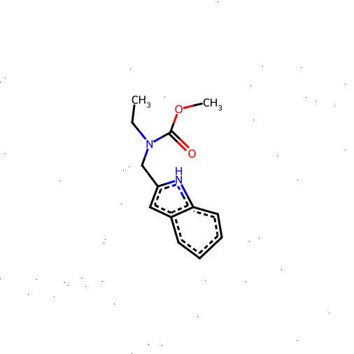 CCN(Cc1cc2ccccc2[nH]1)C(=O)OC